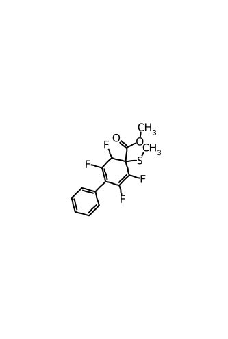 COC(=O)C1(SC)C(F)=C(F)C(c2ccccc2)=C(F)C1F